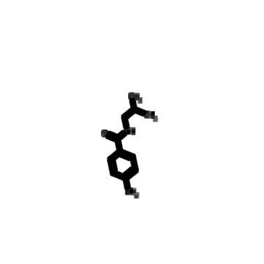 Bc1ccc(C(=O)NCC(C)C)cc1